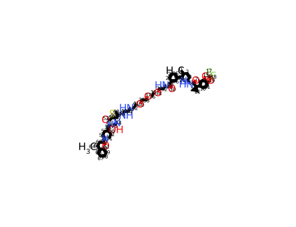 Cc1ccc(NC(=O)C2(c3ccc4c(c3)OC(F)(F)O4)CC2)nc1-c1cccc(C(=O)NCCOCCOCCOCCNCCNc2csc3c(=O)n(CC4(O)CCN(C(=O)C[C@@H](C)c5ccccc5)CC4)cnc23)c1